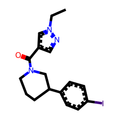 CCn1cc(C(=O)N2CCCC(c3ccc(I)cc3)C2)cn1